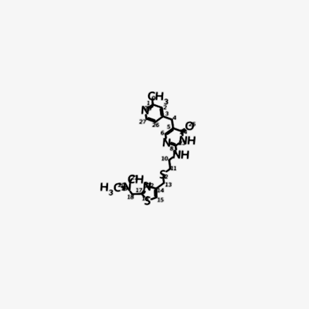 Cc1cc(Cc2cnc(NCCSCc3csc(CN(C)C)n3)[nH]c2=O)ccn1